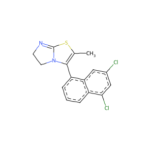 CC1=C(c2cccc3c(Cl)cc(Cl)cc23)N2CCN=C2S1